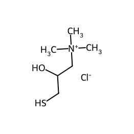 C[N+](C)(C)CC(O)CS.[Cl-]